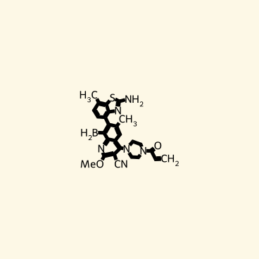 Bc1c(-c2ccc(C)c3sc(N)nc23)c(C)cc2c(N3CCN(C(=O)C=C)CC3)c(C#N)c(OC)nc12